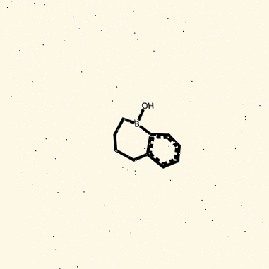 OB1CCCCc2ccccc21